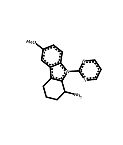 COc1ccc2c(c1)c1c(n2-c2ncccn2)C(N)CCC1